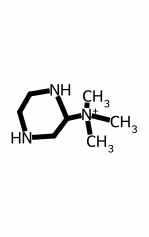 C[N+](C)(C)C1CNCCN1